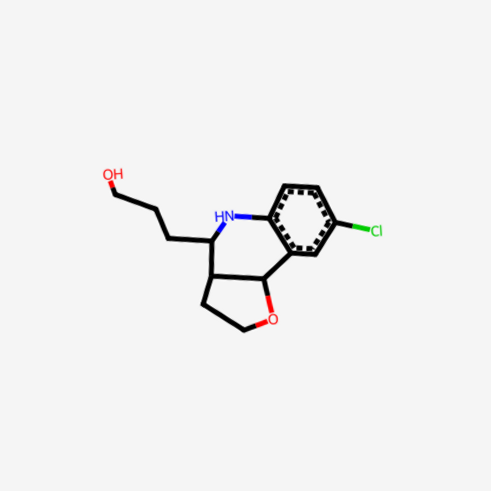 OCCCC1Nc2ccc(Cl)cc2C2OCCC12